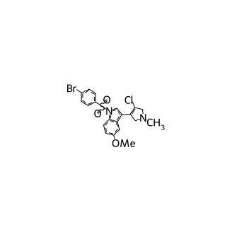 COc1ccc2c(c1)c(C1=C(Cl)CN(C)C1)cn2S(=O)(=O)c1ccc(Br)cc1